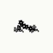 CC(C)(C)OC(=O)n1cc(/C=C2/N=C(c3ccc(C(C)(C)C)cc3)OC2=O)c2ccccc21